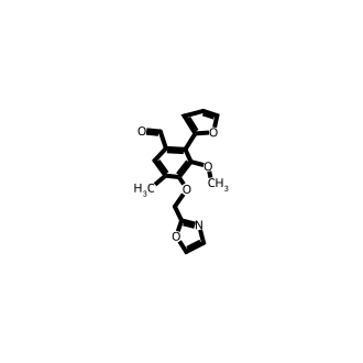 COc1c(OCc2ncco2)c(C)cc(C=O)c1-c1ccco1